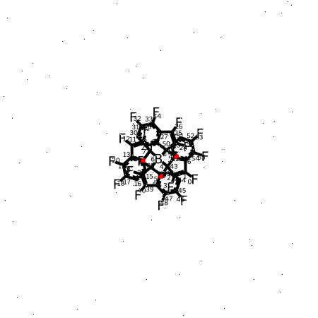 FC1=C(F)C(F)([B-](C2(F)C(F)=C(F)c3c2ccc(F)c3F)(C2(F)C(F)=C(F)c3c2ccc(F)c3F)C2(F)C(F)=C(F)c3c2ccc(F)c3F)c2ccc(F)c(F)c21